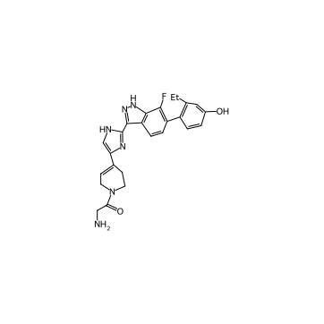 CCc1cc(O)ccc1-c1ccc2c(-c3nc(C4=CCN(C(=O)CN)CC4)c[nH]3)n[nH]c2c1F